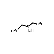 CCCCSCCCC.[LiH]